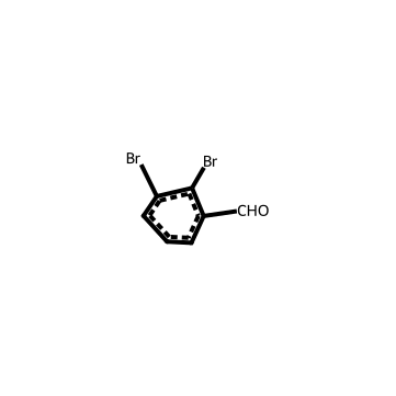 O=Cc1cccc(Br)c1Br